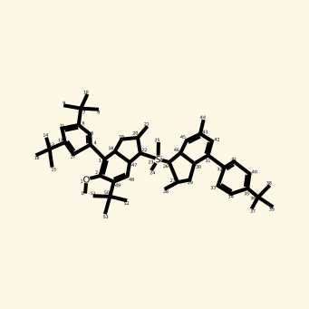 COC1=C(c2cc(C(C)(C)C)cc(C(C)(C)C)c2)C2CC(C)C([Si](C)(C)C3C(C)CC4C(c5ccc(C(C)(C)C)cc5)=CC(C)=CC43)C2C=C1C(C)(C)C